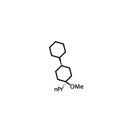 CCC[C@]1(OC)CC[C@@H](C2CCCCC2)CC1